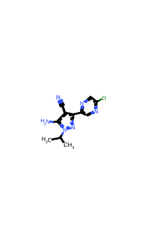 CC(C)n1nc(-c2cnc(Cl)cn2)c(C#N)c1N